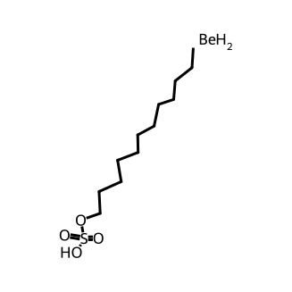 CCCCCCCCCCCCOS(=O)(=O)O.[BeH2]